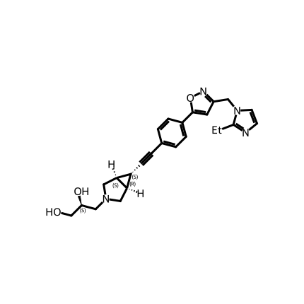 CCc1nccn1Cc1cc(-c2ccc(C#C[C@@H]3[C@H]4CN(C[C@H](O)CO)C[C@@H]34)cc2)on1